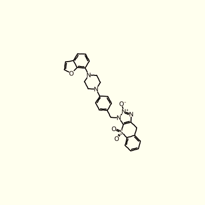 O=S1(=O)c2ccccc2Cc2n[n+]([O-])n(Cc3ccc(N4CCN(c5cccc6ccoc56)CC4)cc3)c21